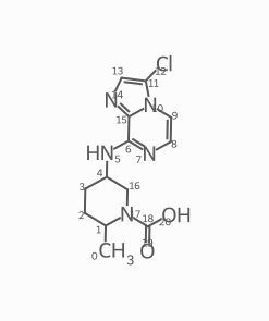 CC1CCC(Nc2nccn3c(Cl)cnc23)CN1C(=O)O